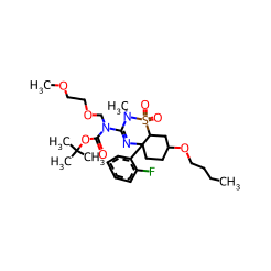 CCCCOC1CCC2(c3ccccc3F)N=C(N(COCCOC)C(=O)OC(C)(C)C)N(C)S(=O)(=O)C2C1